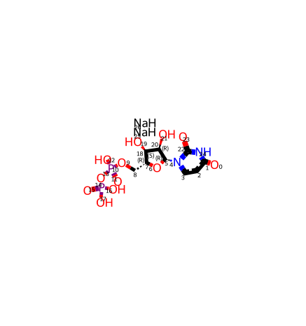 O=c1ccn([C@@H]2O[C@H](COP(=O)(O)OP(=O)(O)O)[C@@H](O)[C@H]2O)c(=O)[nH]1.[NaH].[NaH]